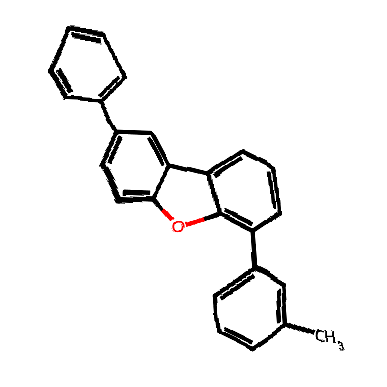 Cc1cccc(-c2cccc3c2oc2ccc(-c4ccccc4)cc23)c1